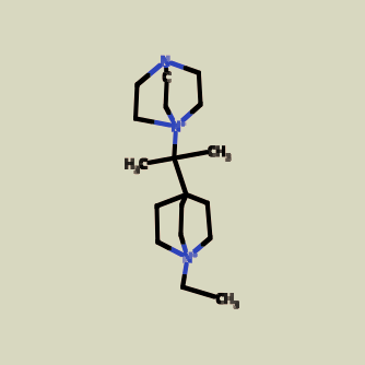 CC[N+]12CCC(C(C)(C)[N+]34CCN(CC3)CC4)(CC1)CC2